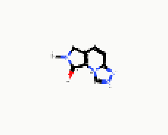 CCN1Cc2ccc3nncn3c2C1=O